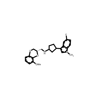 COc1cccc2c1O[C@@H](CNC1CCC(c3cn(C)c4ccc(F)cc34)C1)CO2